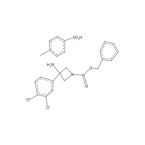 Cc1ccc(S(=O)(=O)O)cc1.NC1(c2ccc(Cl)c(Cl)c2)CN(C(=O)OCc2ccccc2)C1